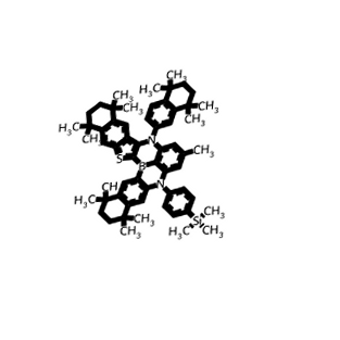 Cc1cc2c3c(c1)N(c1ccc4c(c1)C(C)(C)CCC4(C)C)c1c(sc4cc5c(cc14)C(C)(C)CCC5(C)C)B3c1cc3c(cc1N2c1ccc([Si](C)(C)C)cc1)C(C)(C)CCC3(C)C